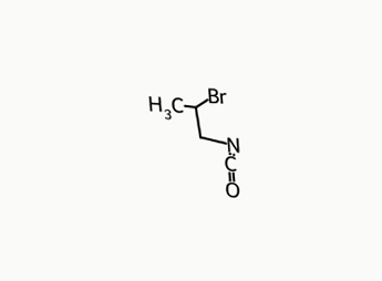 CC(Br)CN=C=O